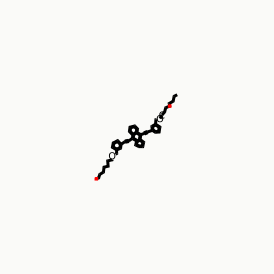 CCCCCCCCOCc1cccc(C#Cc2c3ccccc3c(C#Cc3cccc(COCCCCCCCC)c3)c3ccccc23)c1